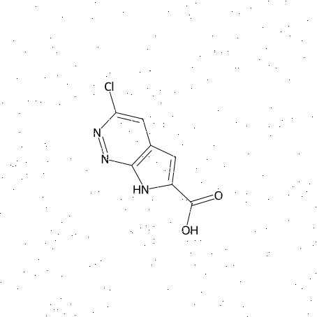 O=C(O)c1cc2cc(Cl)nnc2[nH]1